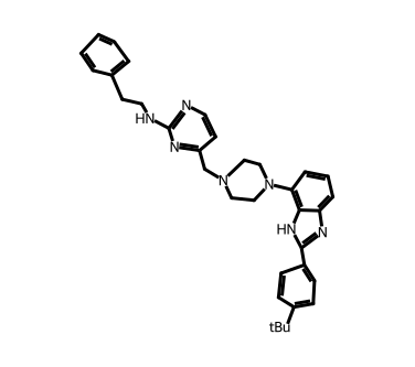 CC(C)(C)c1ccc(-c2nc3cccc(N4CCN(Cc5ccnc(NCCc6ccccc6)n5)CC4)c3[nH]2)cc1